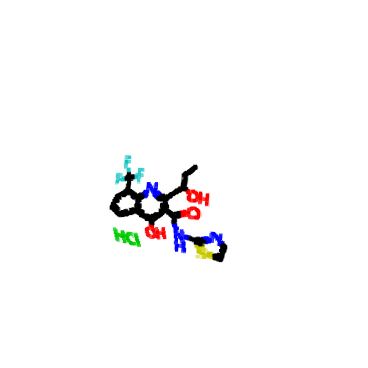 CCC(O)c1nc2c(C(F)(F)F)cccc2c(O)c1C(=O)Nc1nccs1.Cl